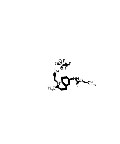 C#CC[n+]1c(C)ccc2cc(NC(=S)OCC)ccc21.O=S(=O)([O-])C(F)(F)F